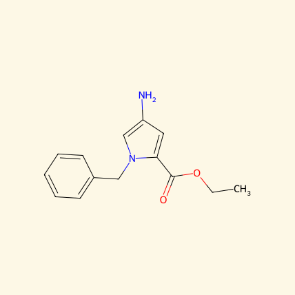 CCOC(=O)c1cc(N)cn1Cc1ccccc1